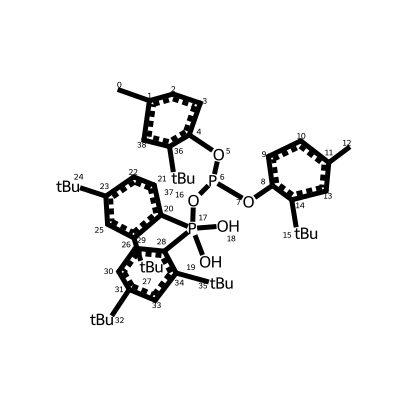 Cc1ccc(OP(Oc2ccc(C)cc2C(C)(C)C)OP(O)(O)(c2ccc(C(C)(C)C)cc2C(C)(C)C)c2ccc(C(C)(C)C)cc2C(C)(C)C)c(C(C)(C)C)c1